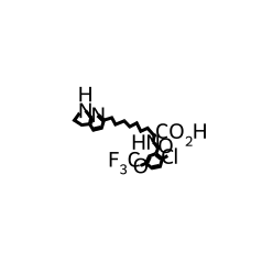 O=C(NC(CCCCCCCc1ccc2c(n1)NCCC2)C(=O)O)c1cc(OC(F)(F)F)ccc1Cl